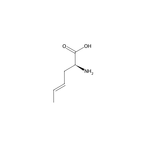 C/C=C/C[C@H](N)C(=O)O